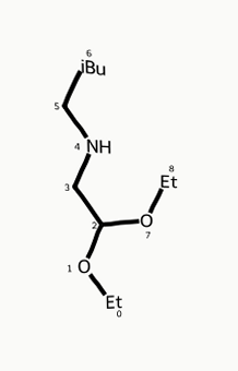 CCOC(CNCC(C)CC)OCC